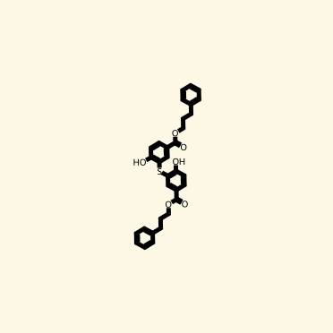 O=C(OCCCc1ccccc1)c1ccc(O)c(Sc2cc(C(=O)OCCCc3ccccc3)ccc2O)c1